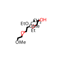 CCOC(C)=O.CCOCCO.COCCOCCOC